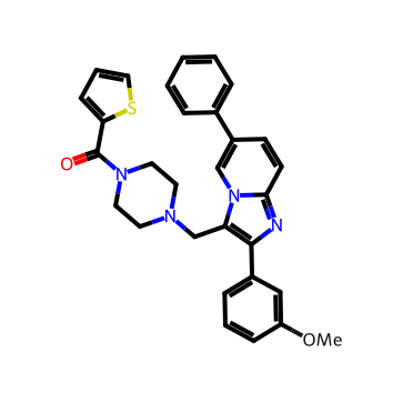 COc1cccc(-c2nc3ccc(-c4ccccc4)cn3c2CN2CCN(C(=O)c3cccs3)CC2)c1